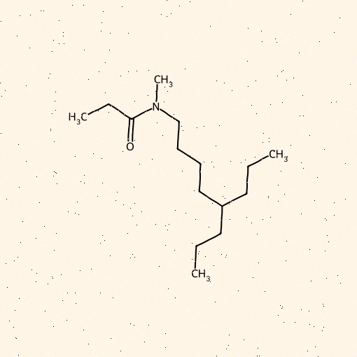 CCCC(CCC)CCCCN(C)C(=O)CC